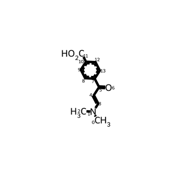 CN(C)C=CC(=O)c1ccc(C(=O)O)cc1